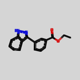 CCOC(=O)c1cccc(-c2n[nH]c3ccccc23)c1